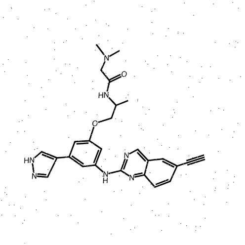 C#Cc1ccc2nc(Nc3cc(OCC(C)NC(=O)CN(C)C)cc(-c4cn[nH]c4)c3)ncc2c1